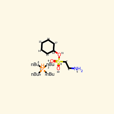 CCCC[PH](CCCC)(CCCC)CCCC.NCCS(=O)(=O)OC1CCCCC1